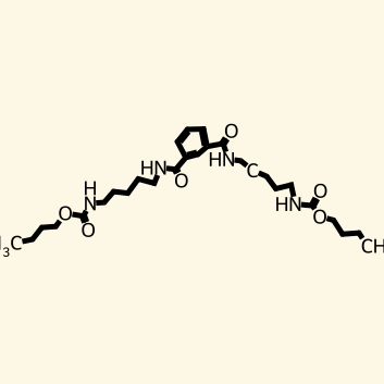 CCCCOC(=O)NCCCCCNC(=O)c1cccc(C(=O)NCCCCCNC(=O)OCCCC)c1